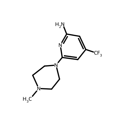 CN1CCN(c2cc(C(F)(F)F)cc(N)n2)CC1